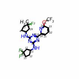 CC1(F)CCC(Nc2nc(NC3CCC(F)(F)C3)nc(-c3cccc(OC(F)(F)F)n3)n2)C1